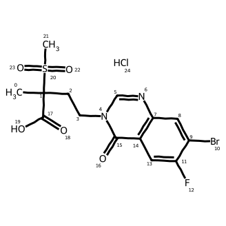 CC(CCn1cnc2cc(Br)c(F)cc2c1=O)(C(=O)O)S(C)(=O)=O.Cl